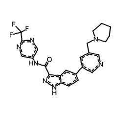 O=C(Nc1cnc(C(F)(F)F)nc1)c1n[nH]c2ccc(-c3cncc(CN4CCCCC4)c3)cc12